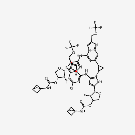 O=C(NC12CC(C1)C2)O[C@@H]1CO[C@H](c2cc(Nc3nc(C4CC4[n+]4[nH]c([C@H]5OC[C@@H](OC(=O)NC67CC(C6)C7)[C@H]5F)cc4Nc4nc(Cl)cc5nc(COC(F)(F)F)cn45)cc4nc(COC(F)(F)F)cn34)n[nH]2)[C@H]1F